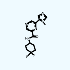 Cn1cncc1-c1cncc(C(=O)NC2CCC(F)(F)CC2)n1